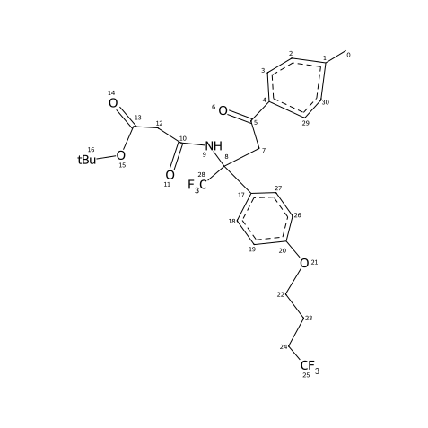 Cc1ccc(C(=O)CC(NC(=O)CC(=O)OC(C)(C)C)(c2ccc(OCCCC(F)(F)F)cc2)C(F)(F)F)cc1